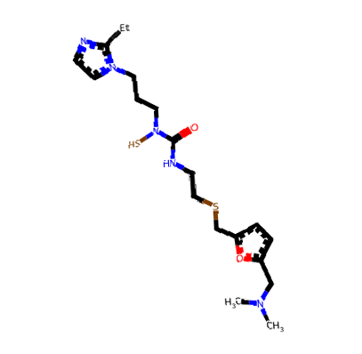 CCc1nccn1CCCN(S)C(=O)NCCSCc1ccc(CN(C)C)o1